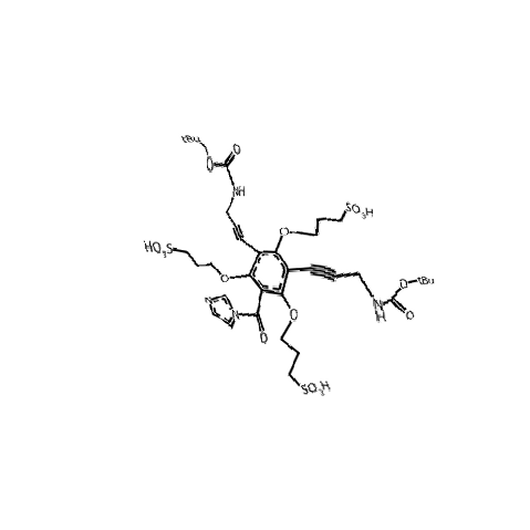 CC(C)(C)OC(=O)NCC#Cc1c(OCCCS(=O)(=O)O)c(C#CCNC(=O)OC(C)(C)C)c(OCCCS(=O)(=O)O)c(C(=O)n2ccnc2)c1OCCCS(=O)(=O)O